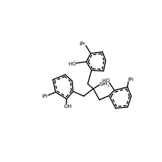 CC(C)c1cccc(CC([SiH3])(Cc2cccc(C(C)C)c2O)Cc2cccc(C(C)C)c2O)c1O